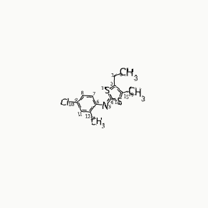 CCc1sc(=Nc2ccc(Cl)cc2C)sc1C